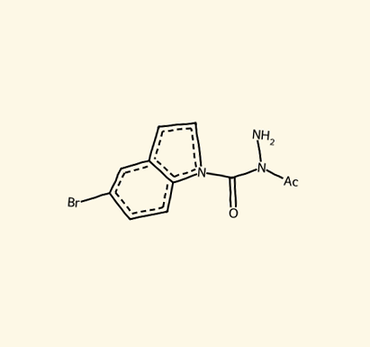 CC(=O)N(N)C(=O)n1ccc2cc(Br)ccc21